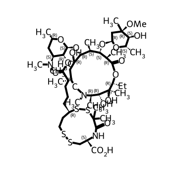 CC[C@H]1OC(=O)[C@H](C)[C@@H](O[C@H]2C[C@@](C)(OC)[C@@H](O)[C@H](C)O2)[C@H](C)[C@@H](O[C@@H]2O[C@H](C)C[C@H](N(C)C)[C@H]2OC(=O)CCCC[C@@H]2CCSSC[C@H](C(=O)O)NC(=O)C(C)(C)SS2)[C@](C)(O)C[C@@H](C)CN(C)[C@H](C)[C@@H](O)[C@]1(C)O